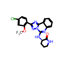 O=C1NCCC[C@H]1Nc1nc2ccccc2c2nc(-c3ccc(Cl)cc3OC(F)(F)F)nn12